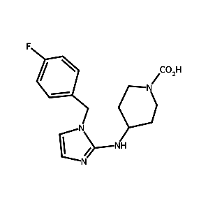 O=C(O)N1CCC(Nc2nccn2Cc2ccc(F)cc2)CC1